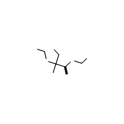 CC(CO)(NCO)C(=O)OCO